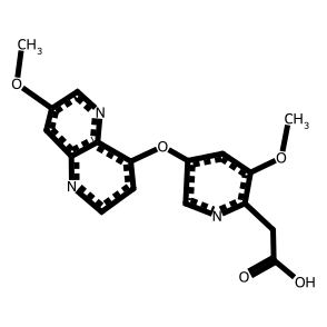 COc1cnc2c(Oc3cnc(CC(=O)O)c(OC)c3)ccnc2c1